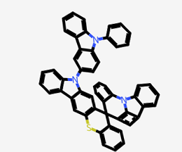 c1ccc(-n2c3ccccc3c3cc(-n4c5ccccc5c5cc6c(cc54)C4(c5ccccc5S6)c5ccccc5-n5c6ccccc6c6cccc4c65)ccc32)cc1